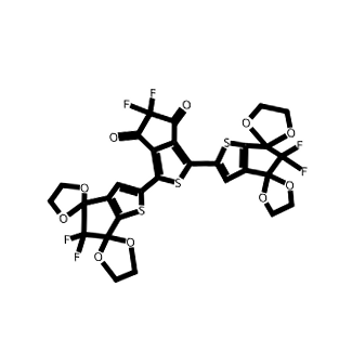 O=C1c2c(-c3cc4c(s3)C3(OCCO3)C(F)(F)C43OCCO3)sc(-c3cc4c(s3)C3(OCCO3)C(F)(F)C43OCCO3)c2C(=O)C1(F)F